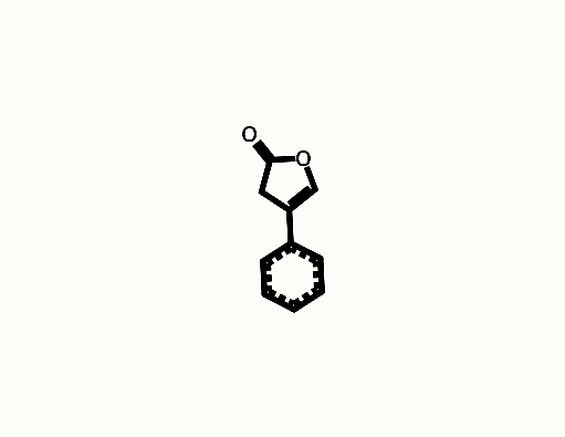 O=C1CC(c2ccccc2)=CO1